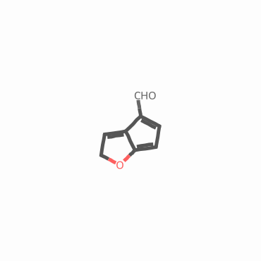 O=CC1=CC=C2OCC=C12